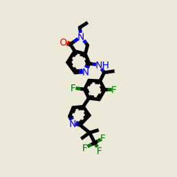 CCN1Cc2c(ccnc2NC(C)c2cc(F)c(-c3ccnc(C(C)(C)C(F)(F)F)c3)cc2F)C1=O